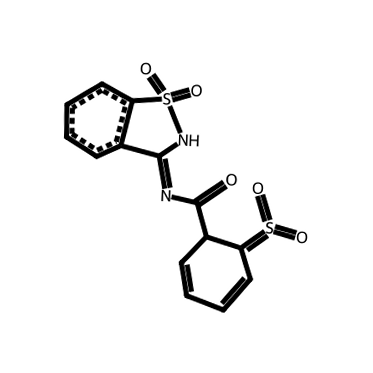 O=C(N=C1NS(=O)(=O)c2ccccc21)C1C=CC=CC1=S(=O)=O